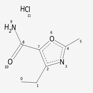 CCc1nc(C)oc1C(N)=O.Cl